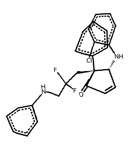 O=C1C=C[C@@H](Nc2ccccc2Cl)[C@@]1(CC(F)(F)CNc1ccccc1)c1ccccc1